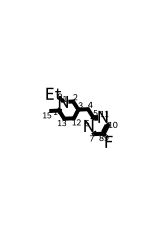 CCN1CC(Cc2ncc(F)cn2)CCC1C